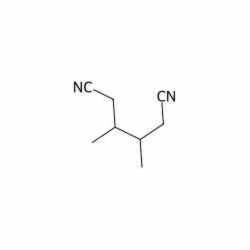 CC(CC#N)C(C)CC#N